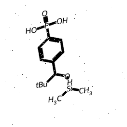 C[SiH](C)OC(c1ccc(P(=O)(O)O)cc1)C(C)(C)C